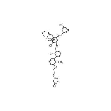 Cc1c(OCCCN2CC[C@@H](O)C2)cccc1-c1cccc(COc2cc(OCc3cncc(C#N)c3)c(CN3CCCC[C@H]3C(=O)O)cc2Cl)c1Cl